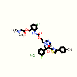 C[C@@H](c1nc(-c2ccc(C#N)cc2)cs1)[C@](O)(C[N+]1(CCOC(=O)Nc2cc(Cl)ccc2COC(=O)CN(C)C)C=NC=N1)c1cccc(F)c1.Cl.[Cl-]